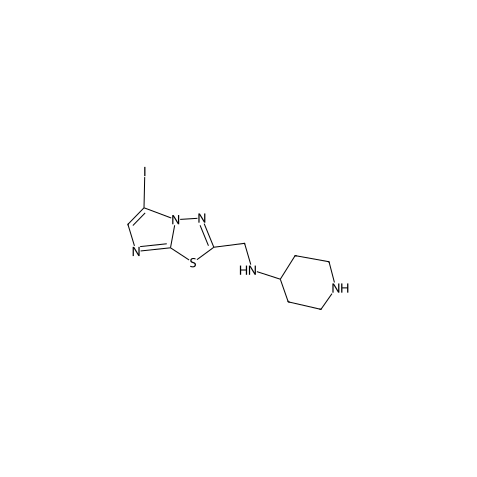 Ic1cnc2sc(CNC3CCNCC3)nn12